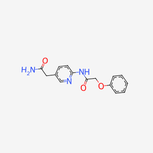 NC(=O)Cc1ccc(NC(=O)COc2ccccc2)nc1